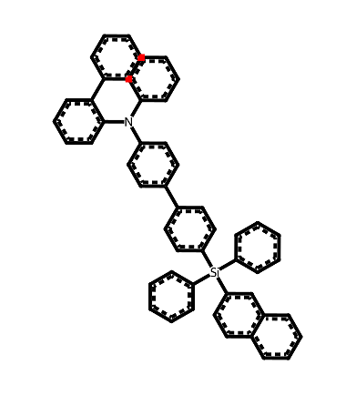 c1ccc(-c2ccccc2N(c2ccccc2)c2ccc(-c3ccc([Si](c4ccccc4)(c4ccccc4)c4ccc5ccccc5c4)cc3)cc2)cc1